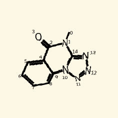 Cn1c(=O)c2ccccc2n2nnnc12